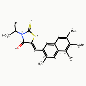 COc1cc2cc(/C=C3\SC(=S)N(C(C(=O)O)C(C)C)C3=O)c(C)cc2c(C(C)C)c1OC